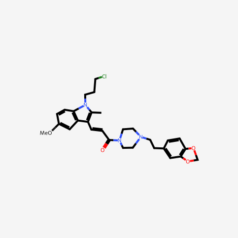 COc1ccc2c(c1)c(/C=C/C(=O)N1CCN(CCc3ccc4c(c3)OCO4)CC1)c(C)n2CCCCl